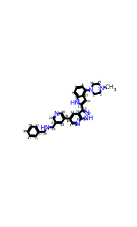 CN1CCN(c2cccc3[nH]c(-c4n[nH]c5ncc(-c6cncc(CNCc7ccccc7)c6)cc45)cc23)CC1